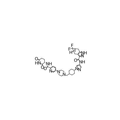 C[C@@]12Cc3[nH]nc(C(=O)Nc4cnn(C5CCC(CN6CCN(c7ccc(C(=O)N[C@H]8CCC(=O)NC8=O)nc7)CC6)CC5)c4)c3C[C@@H]1C2(F)F